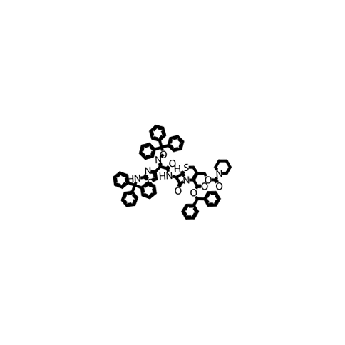 O=C(OC(c1ccccc1)c1ccccc1)C1=C(COC(=O)N2CCCCC2)CS[C@H]2C(NC(=O)/C(=N\OC(c3ccccc3)(c3ccccc3)c3ccccc3)c3csc(NC(c4ccccc4)(c4ccccc4)c4ccccc4)n3)C(=O)N12